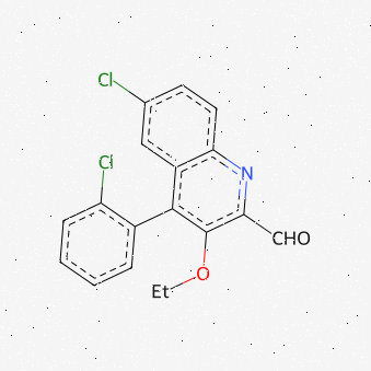 CCOc1c(C=O)nc2ccc(Cl)cc2c1-c1ccccc1Cl